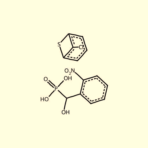 Clc1c2cccc1S2.O=[N+]([O-])c1ccccc1C(O)P(=O)(O)O